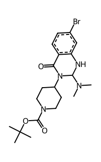 CN(C)C1Nc2cc(Br)ccc2C(=O)N1C1CCN(C(=O)OC(C)(C)C)CC1